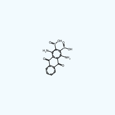 Nc1c2c(c(N)c(S(=O)O)c1S(=O)O)C(=O)c1ccccc1C2=O